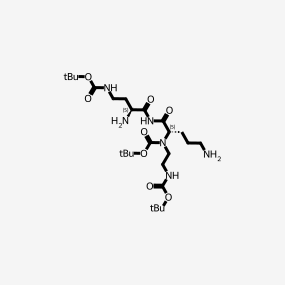 CC(C)(C)OC(=O)NCC[C@H](N)C(=O)NC(=O)[C@H](CCCN)N(CCNC(=O)OC(C)(C)C)C(=O)OC(C)(C)C